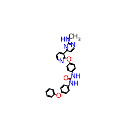 CNc1nccc(-c2cccnc2Oc2ccc(NC(=O)Nc3ccc(Oc4ccccc4)cc3)cc2)n1